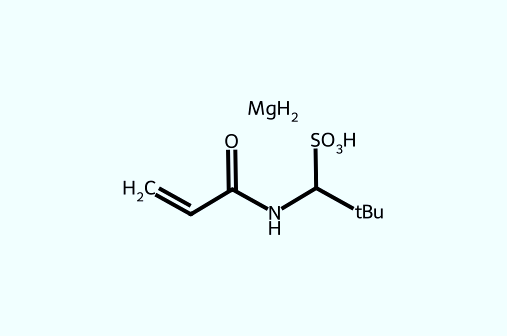 C=CC(=O)NC(C(C)(C)C)S(=O)(=O)O.[MgH2]